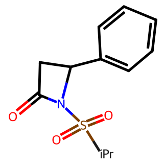 CC(C)S(=O)(=O)N1C(=O)CC1c1ccccc1